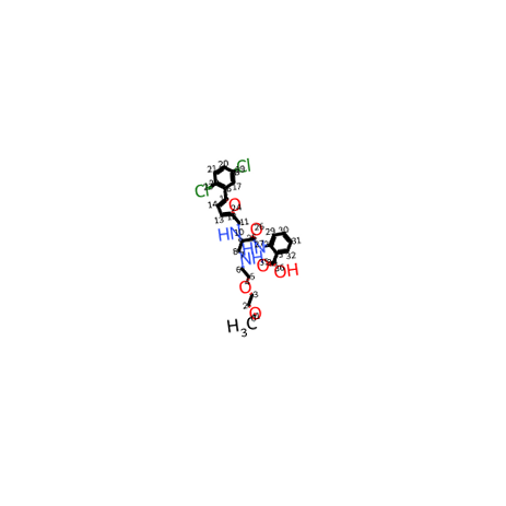 COCCOCCNCC(NCc1ccc(-c2cc(Cl)ccc2Cl)o1)C(=O)Nc1ccccc1C(=O)O